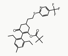 CCc1cc(C)cc(CC)c1C1=C(OC(=O)C(C)(C)C)CC(CCSc2ccc(C(F)(F)F)cn2)CC1=O